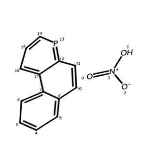 O=[N+]([O-])O.c1ccc2c(c1)ccc1pcccc12